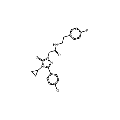 O=C(Cn1nc(-c2ccc(Cl)cc2)n(C2CC2)c1=O)NCCc1ccc(F)cc1